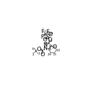 CC(C)(C)OC(=O)n1nc(OS(=O)(=O)C(F)(F)F)c2c1CCCO2